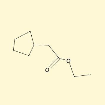 [CH2]COC(=O)CC1CCCC1